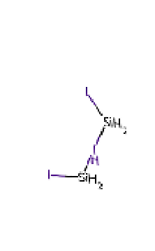 I[SiH2][IH][SiH2]I